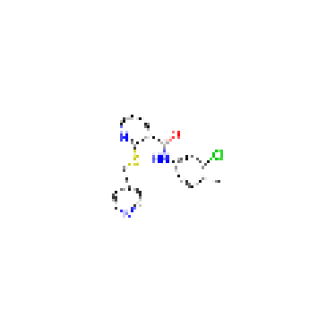 Cc1ccc(NC(=O)c2cccnc2SCc2ccncc2)cc1Cl